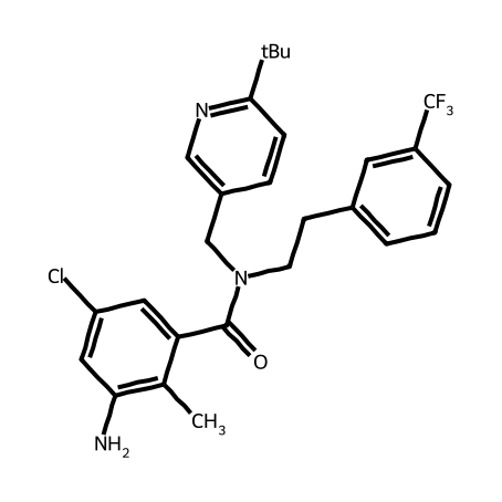 Cc1c(N)cc(Cl)cc1C(=O)N(CCc1cccc(C(F)(F)F)c1)Cc1ccc(C(C)(C)C)nc1